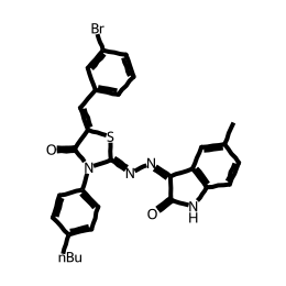 CCCCc1ccc(N2C(=O)C(=Cc3cccc(Br)c3)SC2=NN=C2C(=O)Nc3ccc(C)cc32)cc1